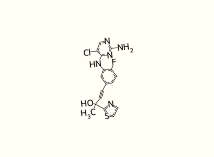 CC(O)(C#Cc1ccc(F)c(Nc2nc(N)ncc2Cl)c1)c1nccs1